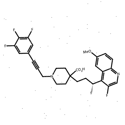 COc1ccc2ncc(F)c([C@H](F)CCC3(C(=O)O)CCN(CC#Cc4cc(F)c(F)c(F)c4)CC3)c2c1